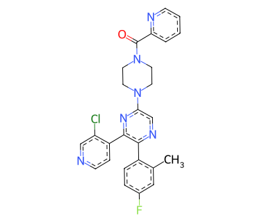 Cc1cc(F)ccc1-c1ncc(N2CCN(C(=O)c3ccccn3)CC2)nc1-c1ccncc1Cl